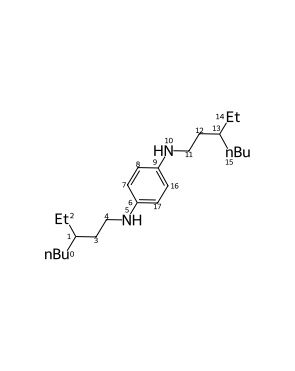 CCCCC(CC)CCNc1ccc(NCCC(CC)CCCC)cc1